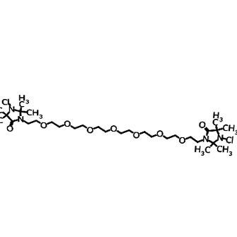 CC1(C)C(=O)N(CCOCCOCCOCCOCCOCCOCCOCCN2C(=O)C(C)(C)N(Cl)C2(C)C)C(C)(C)N1Cl